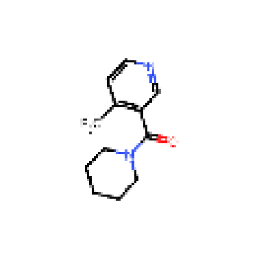 O=C(c1cnccc1C(F)(F)F)N1CCCCC1